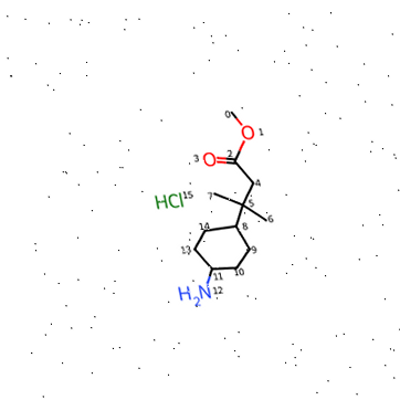 COC(=O)CC(C)(C)C1CCC(N)CC1.Cl